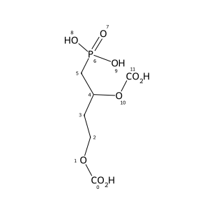 O=C(O)OCCC(CP(=O)(O)O)OC(=O)O